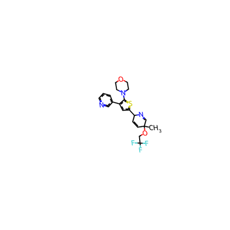 CC1(OCC(F)(F)F)C=CC(c2cc(-c3cccnc3)c(N3CCOCC3)s2)N=C1